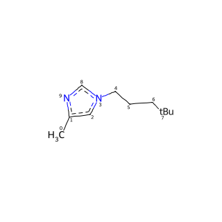 Cc1cn(CCCC(C)(C)C)cn1